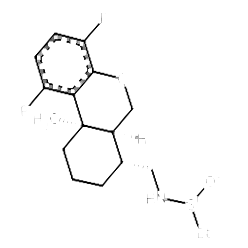 CC[S+]([O-])NC[C@@H]1CCC[C@@]2(C)c3c(F)ccc(F)c3OC[C@@H]12